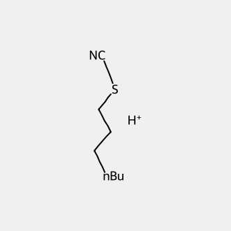 CCCCCCCSC#N.[H+]